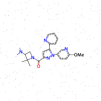 COc1ccc(-n2nc(C(=O)N3CC(N(C)C)C3(C)C)cc2-c2ccccn2)cn1